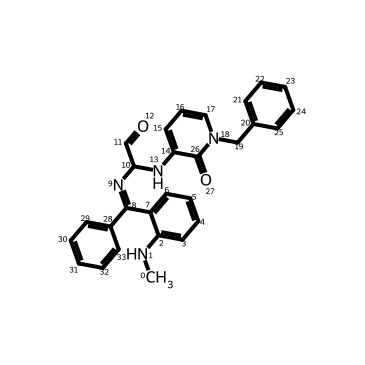 CNc1ccccc1/C(=N\C(C=O)Nc1cccn(Cc2ccccc2)c1=O)c1ccccc1